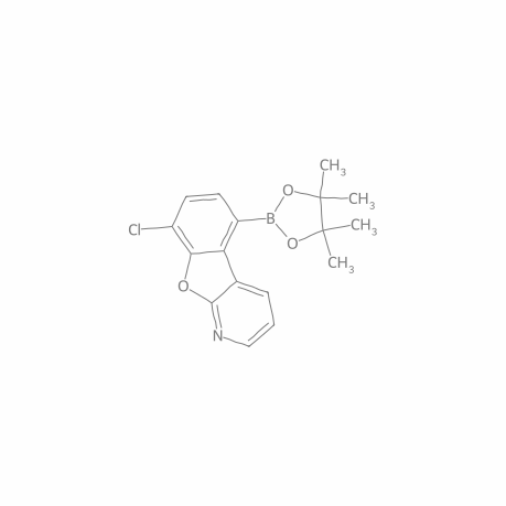 CC1(C)OB(c2ccc(Cl)c3oc4ncccc4c23)OC1(C)C